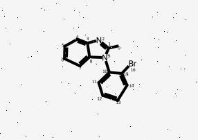 Cc1nc2ccccc2n1-c1ccccc1Br